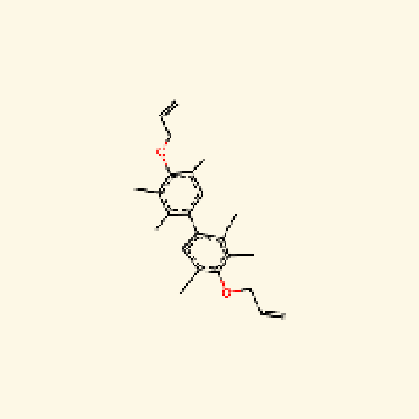 C=CCOc1c(C)cc(-c2cc(C)c(OCC=C)c(C)c2C)c(C)c1C